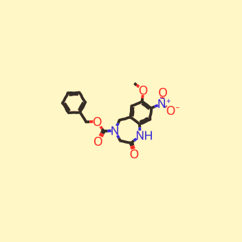 COc1cc2c(cc1[N+](=O)[O-])NC(=O)CN(C(=O)OCc1ccccc1)C2